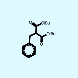 CC(C)COC(=O)C(Cc1ccccc1)C(=O)OCC(C)C